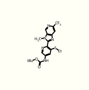 CCSc1cc(NC(=O)OC(C)(C)C)cnc1-c1nc2cc(C(F)(F)F)ncc2n1C